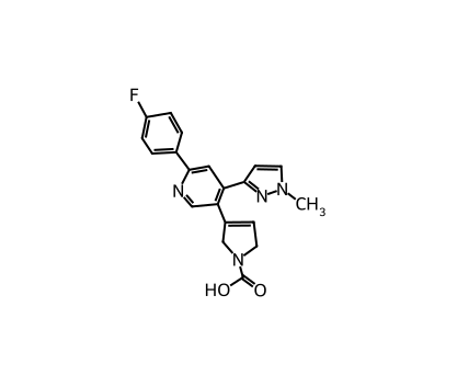 Cn1ccc(-c2cc(-c3ccc(F)cc3)ncc2C2=CCN(C(=O)O)C2)n1